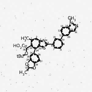 Cc1cc2nc(-c3cccc(-c4ccc5c(cnn5C)c4)c3)sc2c(-c2ccc3c(c2)OC(C)O3)c1[C@H](OC(C)(C)C)C(=O)O